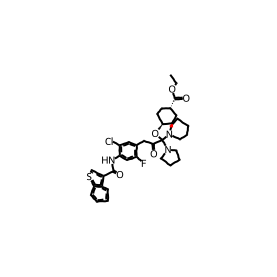 CCOC(=O)[C@H]1CC[C@H](OC(C(=O)Cc2cc(Cl)c(NC(=O)c3csc4ccccc34)cc2F)(N2CCCCC2)N2CCCC2)CC1